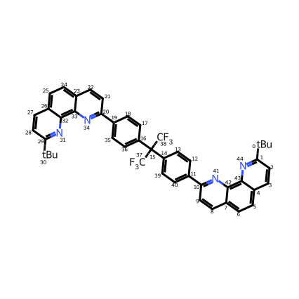 CC(C)(C)c1ccc2ccc3ccc(-c4ccc(C(c5ccc(-c6ccc7ccc8ccc(C(C)(C)C)nc8c7n6)cc5)(C(F)(F)F)C(F)(F)F)cc4)nc3c2n1